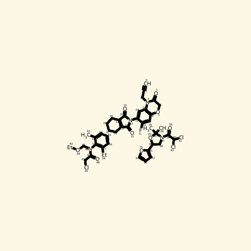 C#CCN1C(=O)COc2cc(F)c(N3C(=O)C4=C(CCCC4)C3=O)cc21.CC1(C)OC(c2ccco2)CN1C(=O)C(Cl)Cl.CCOCN(C(=O)CCl)c1c(C)cccc1CC